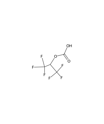 O=C(O)OC(C(F)(F)F)C(F)(F)F